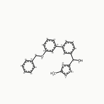 Cc1nnc(C(O)c2cccc(-c3cccc(OCc4ccccc4)c3)c2)o1